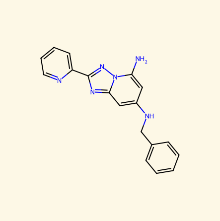 Nc1cc(NCc2ccccc2)cc2nc(-c3ccccn3)nn12